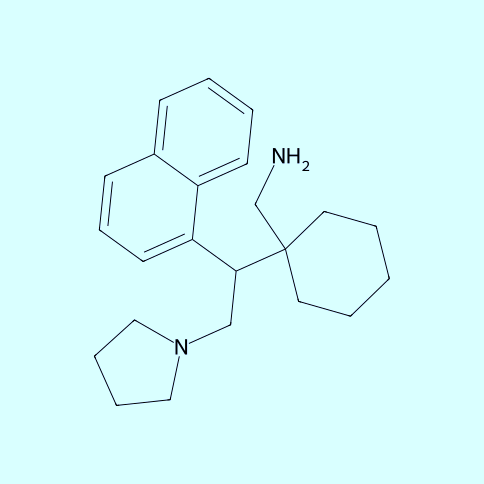 NCC1(C(CN2CCCC2)c2cccc3ccccc23)CCCCC1